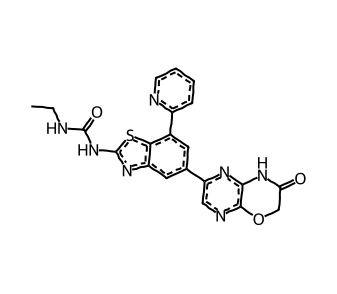 CCNC(=O)Nc1nc2cc(-c3cnc4c(n3)NC(=O)CO4)cc(-c3ccccn3)c2s1